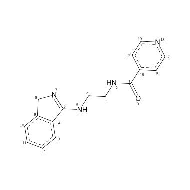 O=C(NCCNC1=NCc2ccccc21)c1ccncc1